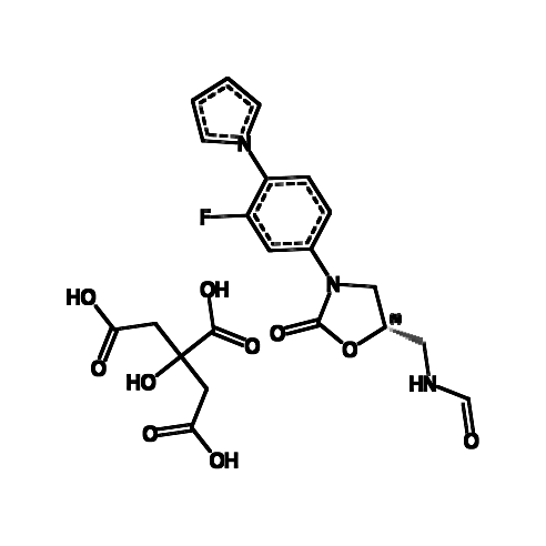 O=C(O)CC(O)(CC(=O)O)C(=O)O.O=CNC[C@H]1CN(c2ccc(-n3cccc3)c(F)c2)C(=O)O1